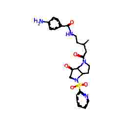 CC(CCNC(=O)c1ccc(N)cc1)CC(=O)N1CCC2C1C(=O)CN2S(=O)(=O)c1ccccn1